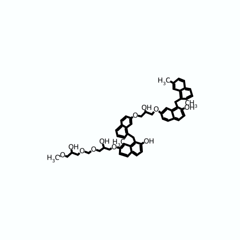 COCC(O)COCOCC(O)COc1ccc2ccc(O)c(Cc3c(C)ccc4ccc(OCC(O)COc5ccc6ccc(O)c(Cc7c(C)ccc8ccc(C)cc78)c6c5)cc34)c2c1